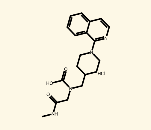 CNC(=O)CN(CC1CCN(c2nccc3ccccc23)CC1)C(=O)O.Cl